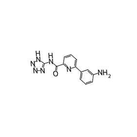 Nc1cccc(-c2cccc(C(=O)Nc3nnn[nH]3)n2)c1